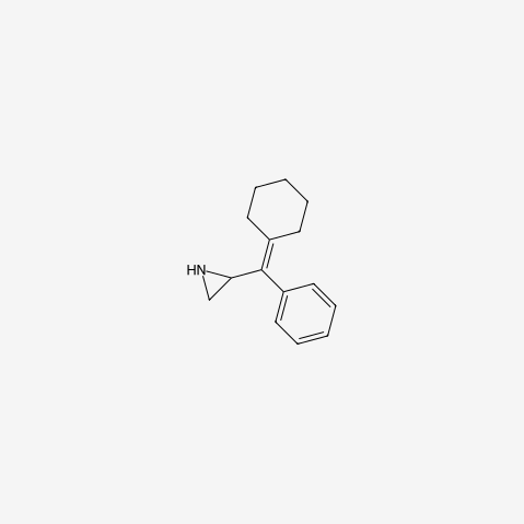 c1ccc(C(=C2CCCCC2)C2CN2)cc1